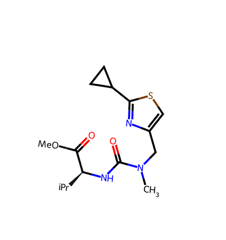 COC(=O)[C@@H](NC(=O)N(C)Cc1csc(C2CC2)n1)C(C)C